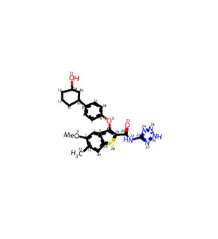 COc1cc2c(Oc3ccc(C4CCCC(O)C4)cc3)c(C(=O)Nc3nn[nH]n3)sc2cc1C